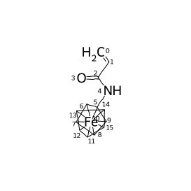 C=CC(=O)N[C]12[CH]3[CH]4[CH]5[CH]1[Fe]45321678[CH]2[CH]1[CH]6[CH]7[CH]28